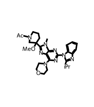 COC1(c2nc3c(N4CCOCC4)nc(-n4c(C(C)C)nc5ccccc54)nc3n2C)CCCN(C(C)=O)C1